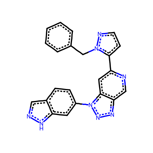 c1ccc(Cn2nccc2-c2cc3c(cn2)nnn3-c2ccc3cn[nH]c3c2)cc1